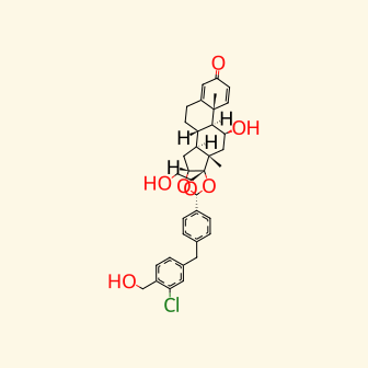 C[C@]12C=CC(=O)C=C1CC[C@@H]1[C@@H]2[C@@H](O)C[C@@]2(C)[C@H]1C[C@H]1O[C@@H](c3ccc(Cc4ccc(CO)c(Cl)c4)cc3)O[C@]12C(=O)CO